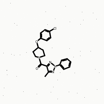 Cc1nn(-c2ccccc2)nc1C(=O)N1CCC(Oc2ccc(Cl)cc2)CC1